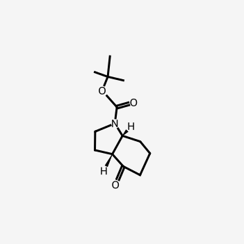 CC(C)(C)OC(=O)N1CC[C@H]2C(=O)CCC[C@H]21